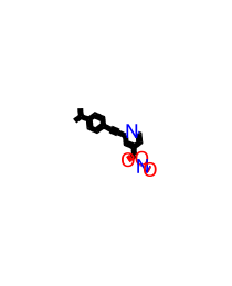 CC(C)c1ccc(C#Cc2cc(C(=O)ON=O)ccn2)cc1